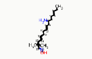 CCCCCCC(N)CC=CCCC=CCC(C)(C)C=NO